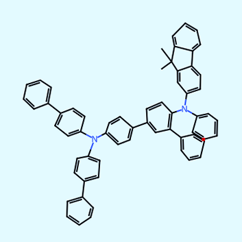 CC1(C)c2ccccc2-c2ccc(N(c3ccccc3)c3ccc(-c4ccc(N(c5ccc(-c6ccccc6)cc5)c5ccc(-c6ccccc6)cc5)cc4)cc3-c3ccccc3)cc21